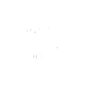 C=Cc1ccc2c(c1C=C)C(=O)OC2=O